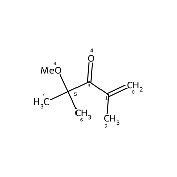 C=C(C)C(=O)C(C)(C)OC